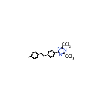 Cc1ccc(C=Cc2ccc(-c3nc(C(Cl)(Cl)Cl)nc(C(Cl)(Cl)Cl)n3)cc2)cc1